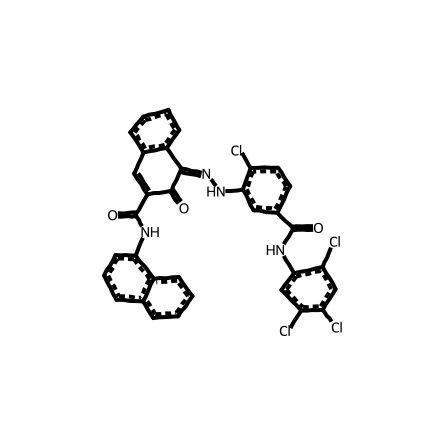 O=C(Nc1cccc2ccccc12)C1=Cc2ccccc2/C(=N/Nc2cc(C(=O)Nc3cc(Cl)c(Cl)cc3Cl)ccc2Cl)C1=O